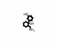 NCC1CCCC[C@]1(O)c1cccc(O)c1